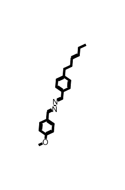 CC/C=C/CCc1ccc(C=NN=Cc2ccc(OC)cc2)cc1